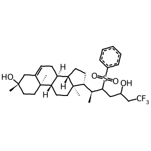 C[C@H](C(CC(O)CC(F)(F)F)S(=O)(=O)c1ccccc1)[C@H]1CC[C@H]2[C@@H]3CC=C4C[C@@](C)(O)CC[C@]4(C)[C@H]3CC[C@]12C